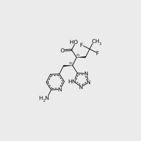 CC(F)(F)C[C@H](C(=O)O)[C@H](Cc1ccc(N)nc1)c1nnn[nH]1